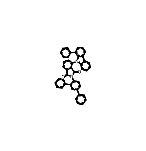 O=C1c2cccc(-n3c4ccccc4c4cccc(-c5ccccc5)c43)c2C(=O)N1c1ccc(-c2ccccc2)cc1-c1ccccc1